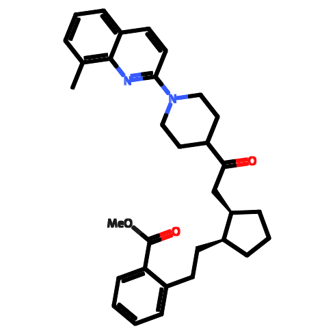 COC(=O)c1ccccc1CC[C@@H]1CCC[C@@H]1CC(=O)C1CCN(c2ccc3cccc(C)c3n2)CC1